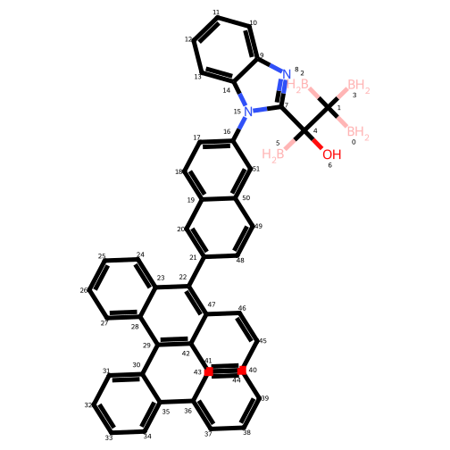 BC(B)(B)C(B)(O)c1nc2ccccc2n1-c1ccc2cc(-c3c4ccccc4c(-c4ccccc4-c4ccccc4)c4ccccc34)ccc2c1